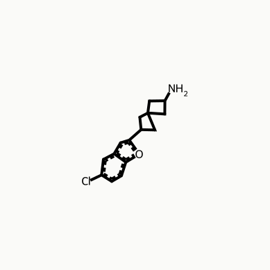 NC1CC2(C1)CC(c1cc3cc(Cl)ccc3o1)C2